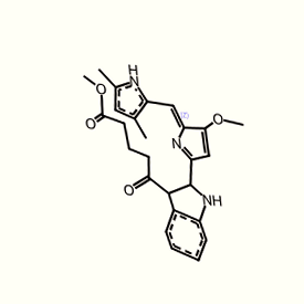 COC(=O)CCCC(=O)C1c2ccccc2NC1C1=N/C(=C\c2[nH]c(C)cc2C)C(OC)=C1